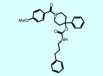 COc1ccc(C(=O)N2CCC(OC(=O)NCCCc3ccccc3)(c3ccccc3)CC2)cc1